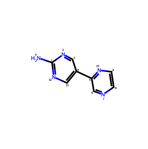 Nc1ncc(-c2cnccn2)cn1